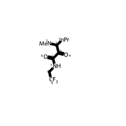 CCCC(NC)C(=O)C(=O)NCC(F)(F)F